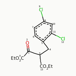 CCOC(=O)C(=O)C(Cc1ccc(Cl)cc1Cl)C(=O)OCC